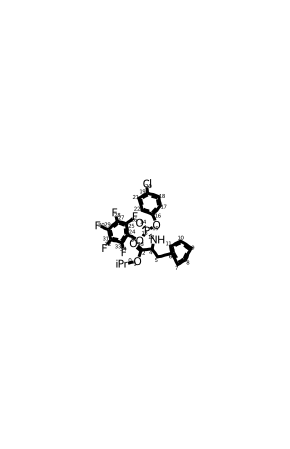 CC(C)OC(=O)C(Cc1ccccc1)NP(=O)(Oc1ccc(Cl)cc1)Oc1c(F)c(F)c(F)c(F)c1F